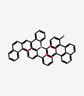 Fc1ccccc1-c1cccc2cccc(-c3ccc(N(c4ccccc4-c4ccccc4)c4ccccc4-c4ccc5c(ccc6ccccc65)c4)cc3)c12